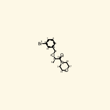 C[C@@H](OCc1cccc(Br)c1)C(=O)N1CCOCC1